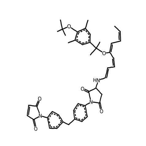 C\C=C/C=C(\C=C/C=C/NC1CC(=O)N(c2ccc(Cc3ccc(N4C(=O)C=CC4=O)cc3)cc2)C1=O)OC(C)(C)c1cc(C)c(OC(C)(C)C)c(C)c1